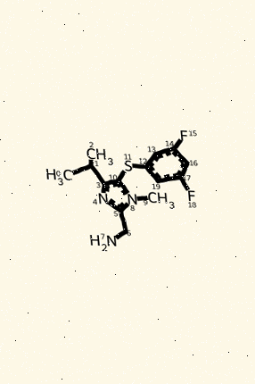 CC(C)c1nc(CN)n(C)c1Sc1cc(F)cc(F)c1